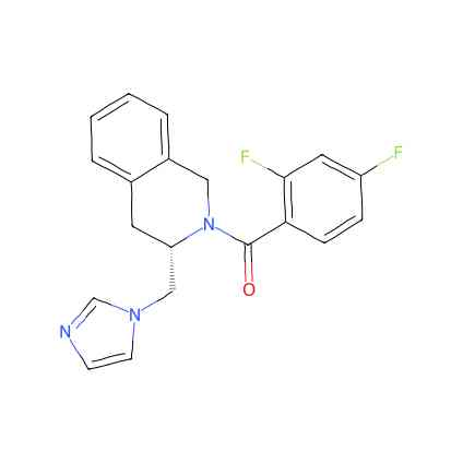 O=C(c1ccc(F)cc1F)N1Cc2ccccc2C[C@H]1Cn1ccnc1